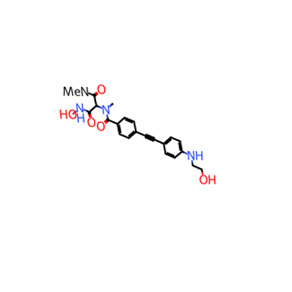 CNC(=O)C(C(=O)NO)N(C)C(=O)c1ccc(C#Cc2ccc(NCCO)cc2)cc1